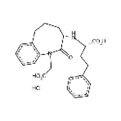 Cl.O=C(O)CN1C(=O)[C@@H](N[C@@H](CCc2ccccc2)C(=O)O)CCCc2ccccc21